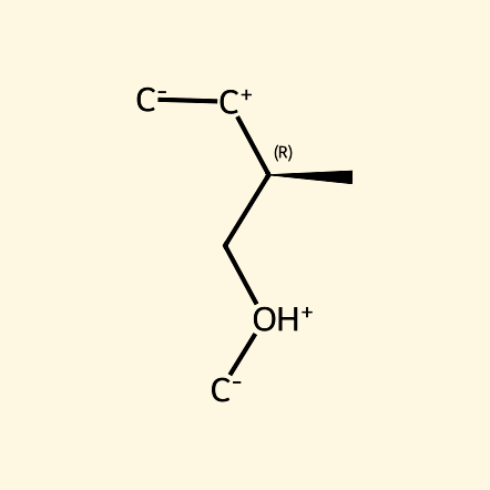 [CH2-][CH+][C@@H](C)C[OH+][CH2-]